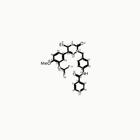 CCC1SC(=O)N(Cc2ccc(NC(=O)c3ccncc3)cc2)N=C1c1ccc(OC)c(OC(F)F)c1